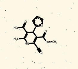 COC(=O)C1=C(C#N)NC(C)=C(C(=O)O)C1c1cccs1